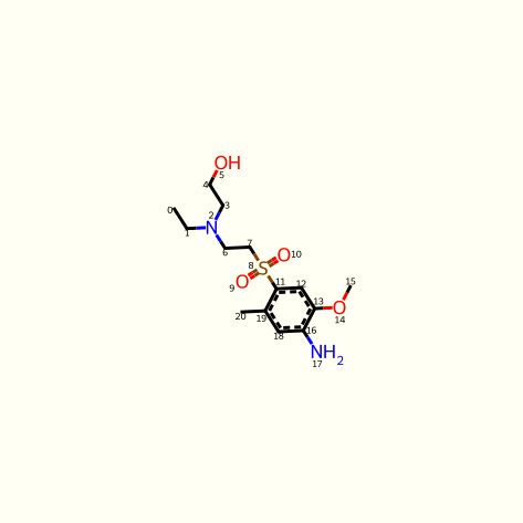 CCN(CCO)CCS(=O)(=O)c1cc(OC)c(N)cc1C